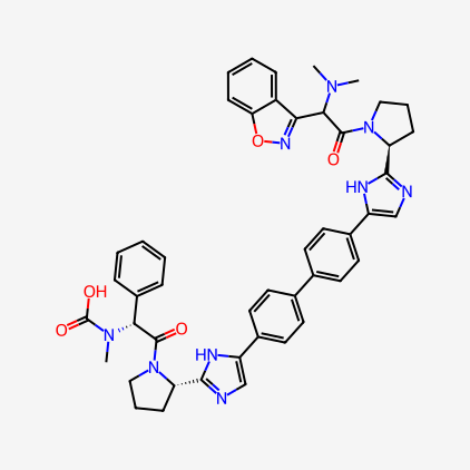 CN(C)C(C(=O)N1CCC[C@H]1c1ncc(-c2ccc(-c3ccc(-c4cnc([C@@H]5CCCN5C(=O)[C@@H](c5ccccc5)N(C)C(=O)O)[nH]4)cc3)cc2)[nH]1)c1noc2ccccc12